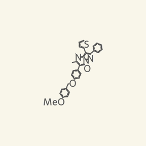 COc1ccc(COc2ccc(-c3c(C)n(C)c4c(-c5cccs5)c(-c5ccccc5)nn4c3=O)cc2)cc1